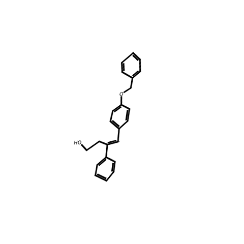 OCC/C(=[C]\c1ccc(OCc2ccccc2)cc1)c1ccccc1